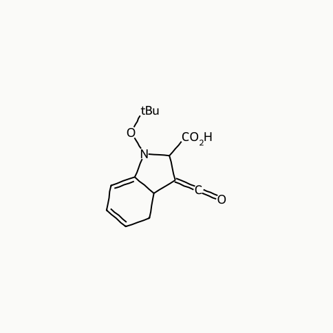 CC(C)(C)ON1C2=CC=CCC2C(=C=O)C1C(=O)O